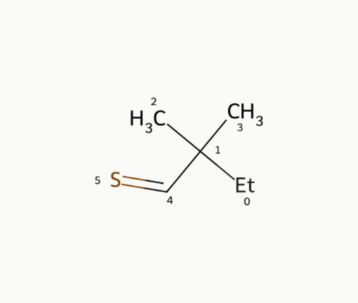 CCC(C)(C)C=S